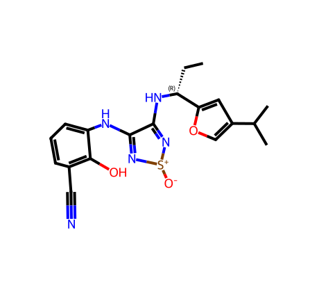 CC[C@@H](Nc1n[s+]([O-])nc1Nc1cccc(C#N)c1O)c1cc(C(C)C)co1